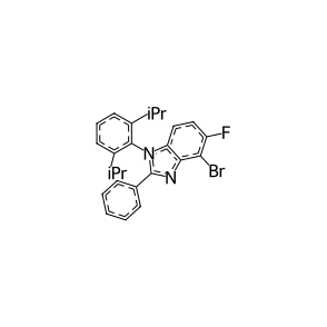 CC(C)c1cccc(C(C)C)c1-n1c(-c2ccccc2)nc2c(Br)c(F)ccc21